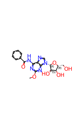 COc1nc(NC(=O)c2ccccc2)c2ncn([C@@H]3O[C@H](CO)[C@@H](O)[C@H]3O)c2n1